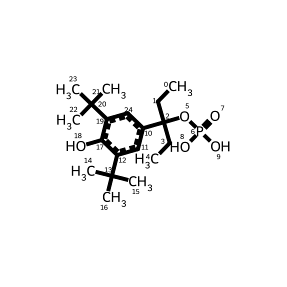 CCC(CC)(OP(=O)(O)O)c1cc(C(C)(C)C)c(O)c(C(C)(C)C)c1